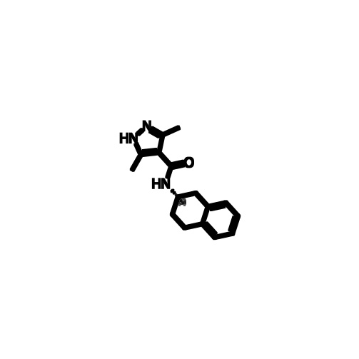 Cc1n[nH]c(C)c1C(=O)N[C@H]1CCc2ccccc2C1